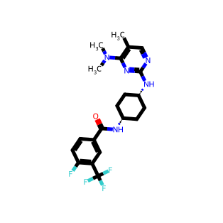 Cc1cnc(N[C@H]2CC[C@@H](NC(=O)c3ccc(F)c(C(F)(F)F)c3)CC2)nc1N(C)C